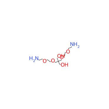 NCCOCCOCC(CO)(CO)COCCOCCN